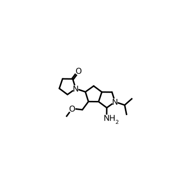 COCC1C2C(CC1N1CCCC1=O)CN(C(C)C)C2N